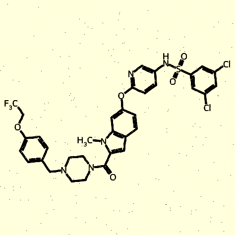 Cn1c(C(=O)N2CCN(Cc3ccc(OCC(F)(F)F)cc3)CC2)cc2ccc(Oc3ccc(NS(=O)(=O)c4cc(Cl)cc(Cl)c4)cn3)cc21